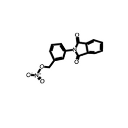 O=C1c2ccccc2C(=O)N1c1cccc(CO[N+](=O)[O-])c1